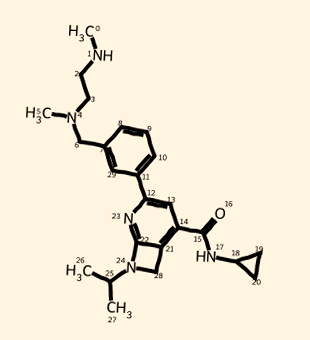 CNCCN(C)Cc1cccc(-c2cc(C(=O)NC3CC3)c3c(n2)N(C(C)C)C3)c1